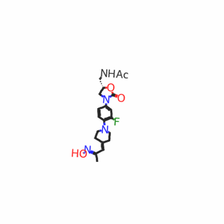 CC(=O)NC[C@H]1CN(c2ccc(N3CCC(=CC(C)=NO)CC3)c(F)c2)C(=O)O1